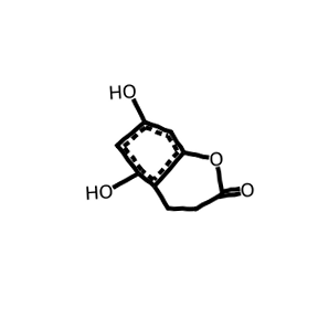 O=C1CCc2c(O)cc(O)cc2O1